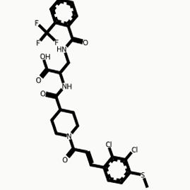 CSc1ccc(C=CC(=O)N2CCC(C(=O)NC(CNC(=O)c3ccccc3C(F)(F)F)C(=O)O)CC2)c(Cl)c1Cl